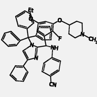 CCOc1cc(OC2CCN(C)CC2)c(F)c(C(Nc2ccc(C#N)cc2)c2nc(-c3ccccc3)cn2C(c2ccccc2)(c2ccccc2)c2ccccc2)c1